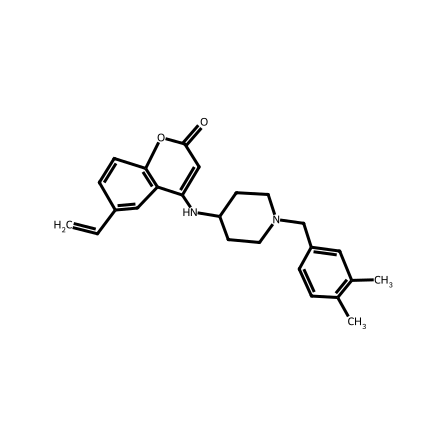 C=Cc1ccc2oc(=O)cc(NC3CCN(Cc4ccc(C)c(C)c4)CC3)c2c1